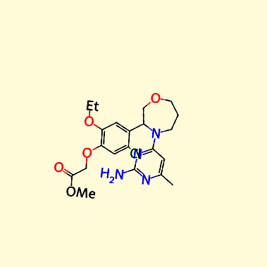 CCOc1cc(C2COCCCN2c2cc(C)nc(N)n2)c(Cl)cc1OCC(=O)OC